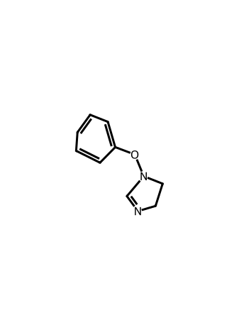 C1=NCCN1Oc1ccccc1